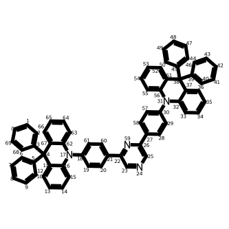 c1ccc(C2(c3ccccc3)c3ccccc3N(c3ccc(-c4cncc(-c5ccc(N6c7ccccc7C(c7ccccc7)(c7ccccc7)c7ccccc76)cc5)n4)cc3)c3ccccc32)cc1